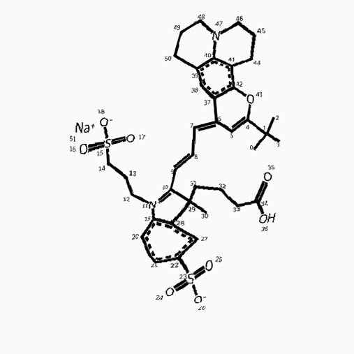 CC(C)(C)C1=CC(=CC=CC2=[N+](CCCS(=O)(=O)[O-])c3ccc(S(=O)(=O)[O-])cc3C2(C)CCCC(=O)O)c2cc3c4c(c2O1)CCCN4CCC3.[Na+]